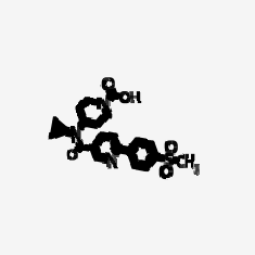 CS(=O)(=O)c1ccc(-c2ccc(C(=O)N(C3CC3)C3CCN(C(=O)O)CC3)cn2)cc1